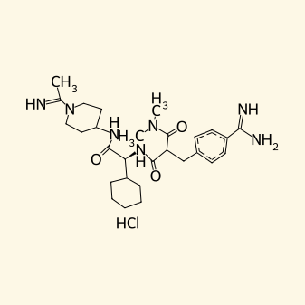 CC(=N)N1CCC(NC(=O)[C@@H](NC(=O)C(Cc2ccc(C(=N)N)cc2)C(=O)N(C)C)C2CCCCC2)CC1.Cl